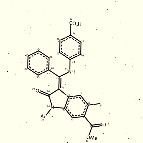 COC(=O)c1cc2c(cc1C)C(=C(Nc1ccc(C(=O)O)cc1)c1ccccc1)C(=O)N2C(C)=O